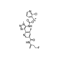 C=C(CCF)NC(=O)c1cnc(-c2nnn(C)c2NC(=O)O[C@H](C)c2cccnc2Cl)c(F)c1